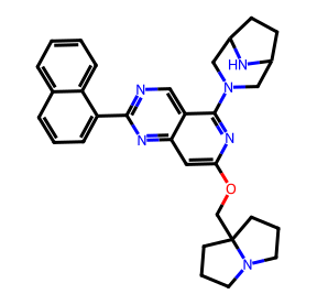 c1ccc2c(-c3ncc4c(N5CC6CCC(C5)N6)nc(OCC56CCCN5CCC6)cc4n3)cccc2c1